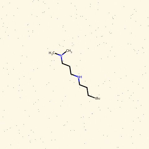 CN(C)CCCNCCCC(C)(C)C